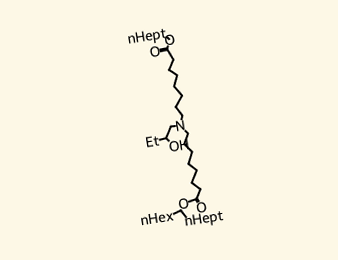 CCCCCCCOC(=O)CCCCCCCN(CCCCCCCC(=O)OC(CCCCCC)CCCCCCC)CC(O)CC